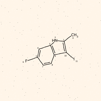 Cc1[nH]c2cc(F)ccc2c1I